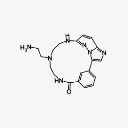 NCCN1CCNC(=O)c2cccc(c2)-c2cnc3ccc(nn23)NCC1